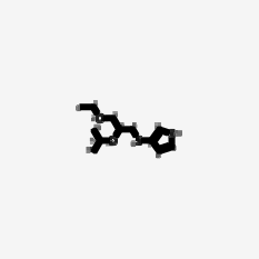 CCOCC(CSc1ccsc1)OC(C)C